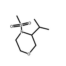 CC(C)C1COCCN1S(C)(=O)=O